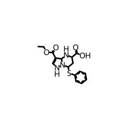 CCOC(=O)C1=CNN2C(Sc3ccccc3)CC(C(=O)O)NC12